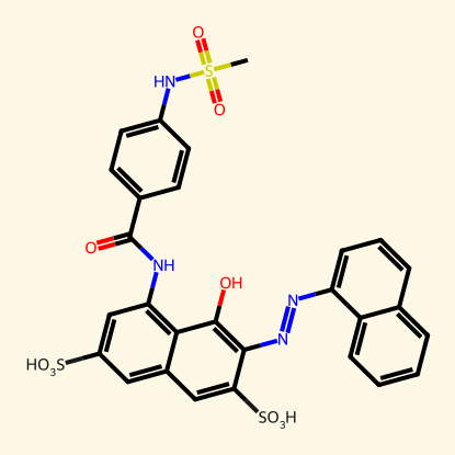 CS(=O)(=O)Nc1ccc(C(=O)Nc2cc(S(=O)(=O)O)cc3cc(S(=O)(=O)O)c(N=Nc4cccc5ccccc45)c(O)c23)cc1